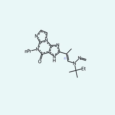 C=NN(/C=C(\C)c1nc2c([nH]1)c(=O)n(CCC)c1nccn21)C(C)(C)CC